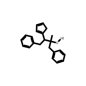 CC(Cc1ccccc1)([O][Hf])C(Cc1ccccc1)C1=CC=CC1